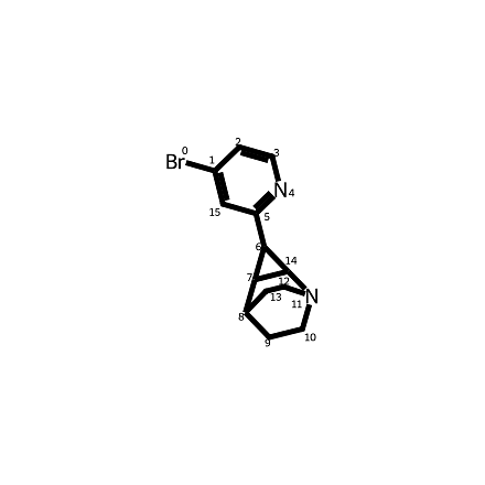 Brc1ccnc(C2C3C4CCN(CC4)C23)c1